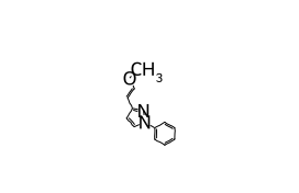 COC=Cc1ccn(-c2ccccc2)n1